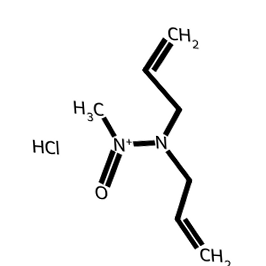 C=CCN(CC=C)[N+](C)=O.Cl